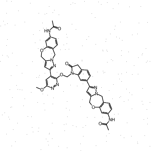 COc1cc(-c2cc3n(n2)Cc2ccc(NC(C)=O)cc2OC3)c(OCN2C(=O)Cc3ccc(-c4cc5n(n4)Cc4ccc(NC(C)=O)cc4OC5)cc32)nn1